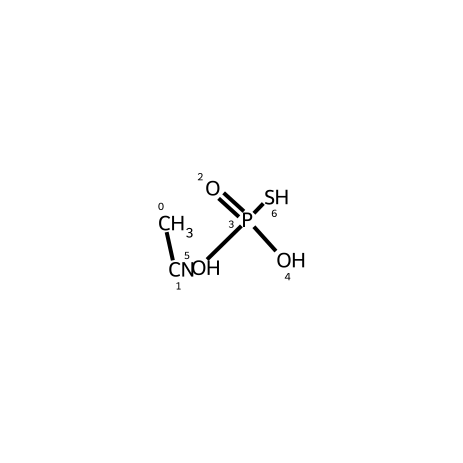 CC#N.O=P(O)(O)S